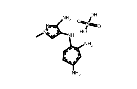 Cn1cc(Nc2ccc(N)cc2N)c(N)n1.O=S(=O)(O)O